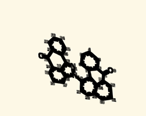 O=C1c2ccccc2-c2c(-n3nc4c5c(cccc53)C(=O)c3ccccc3-4)ccc3cccc1c23